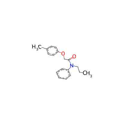 CCCN(C(=O)COc1ccc(C)cc1)c1ccccc1